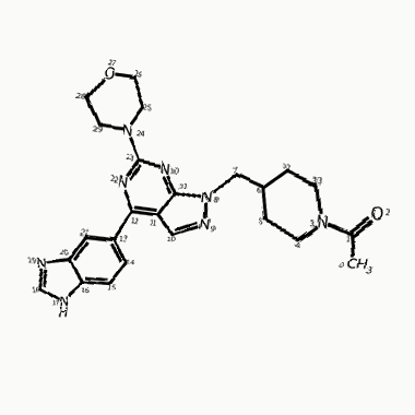 CC(=O)N1CCC(Cn2ncc3c(-c4ccc5[nH]cnc5c4)nc(N4CCOCC4)nc32)CC1